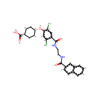 O=C(NCCNC(=O)c1cc(F)c(O[C@H]2CC[C@H](C(=O)O)CC2)cc1F)c1ccc2ccccc2c1